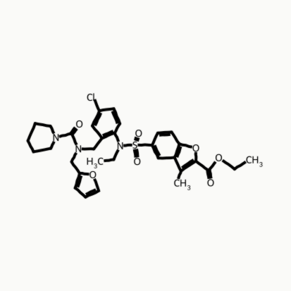 CCOC(=O)c1oc2ccc(S(=O)(=O)N(CC)c3ccc(Cl)cc3CN(Cc3ccco3)C(=O)N3CCCCC3)cc2c1C